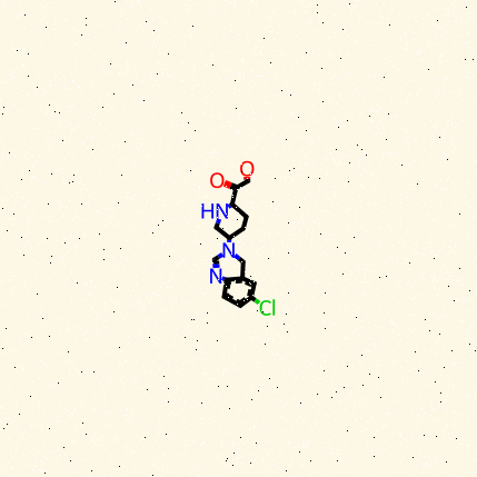 O=CC(=O)C1CCC(N2C=Nc3ccc(Cl)cc3C2)CN1